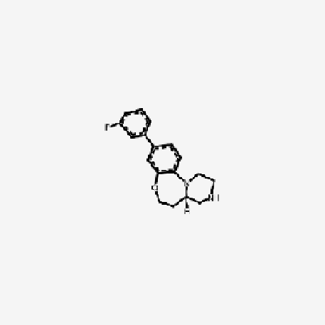 Fc1cccc(-c2ccc3c(c2)OCC[C@H]2CNCCN32)c1